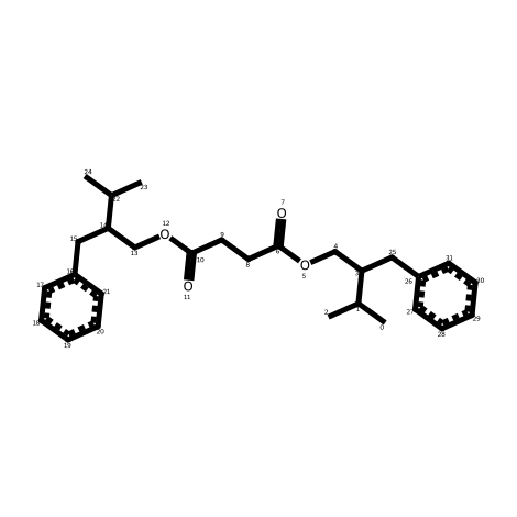 CC(C)C(COC(=O)CCC(=O)OCC(Cc1ccccc1)C(C)C)Cc1ccccc1